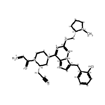 C=CC(=O)N1CCN(c2nc(OC[C@@H]3CCCN3C)nn3c(Cc4ccccc4Cl)cnc23)C[C@@H]1CC#N